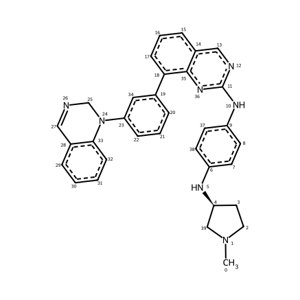 CN1CC[C@H](Nc2ccc(Nc3ncc4cccc(-c5cccc(N6CN=Cc7ccccc76)c5)c4n3)cc2)C1